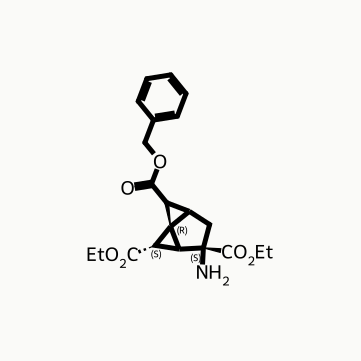 CCOC(=O)[C@H]1C2[C@@]13C(C[C@@]2(N)C(=O)OCC)C3C(=O)OCc1ccccc1